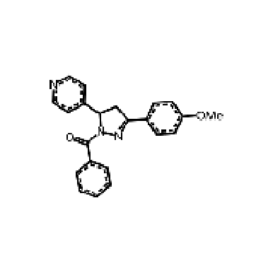 COc1ccc(C2=NN(C(=O)c3ccccc3)C(c3ccncc3)C2)cc1